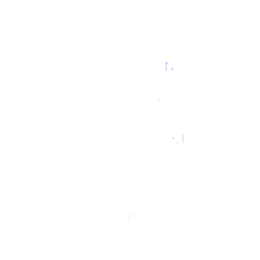 CC(COC(=O)N1CCCC1)C(Sc1ccc(Cl)cc1)c1cc(F)ccc1F